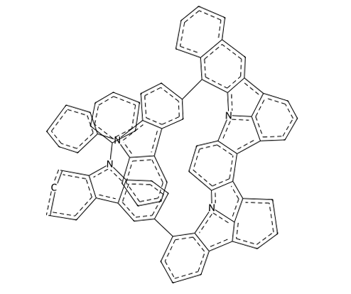 c1ccc(-n2c3ccccc3c3cc(-c4cccc5c6cccc7c8c9c%10cccc%11c%12cc%13ccccc%13c(-c%13ccc%14c(c%13)c%13ccccc%13n%14-c%13ccccc%13)c%12n(c9ccc8n(c45)c67)c%11%10)ccc32)cc1